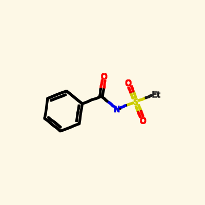 CCS(=O)(=O)[N]C(=O)c1ccccc1